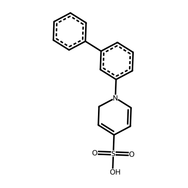 O=S(=O)(O)C1=CCN(c2cccc(-c3ccccc3)c2)C=C1